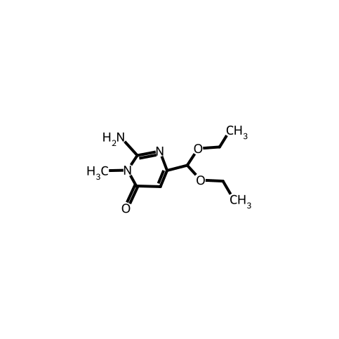 CCOC(OCC)c1cc(=O)n(C)c(N)n1